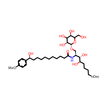 CCCCCCCCCCCCCC[C@@H](O)[C@@H](O)[C@H](CO[C@H]1OC(CO)[C@H](O)C(O)[C@@H]1O)NC(=O)CCCCCCCCC[C@H](O)c1ccc(OC)cc1